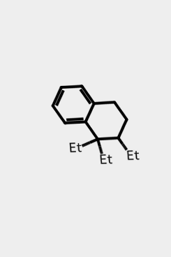 CCC1CCc2ccccc2C1(CC)CC